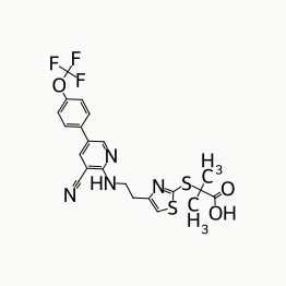 CC(C)(Sc1nc(CCNc2ncc(-c3ccc(OC(F)(F)F)cc3)cc2C#N)cs1)C(=O)O